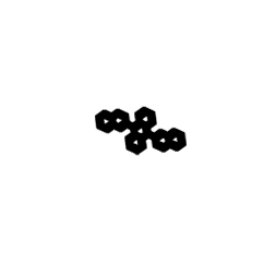 [c]1ccc2c(-c3ccc4ccccc4c3)c3ccccc3c(-c3ccc4ccccc4c3)c2c1